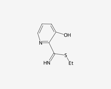 CCSC(=N)c1ncccc1O